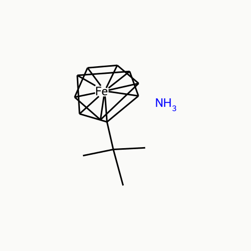 CC(C)(C)[C]12[CH]3[CH]4[CH]5[CH]1[Fe]45321678[CH]2[CH]1[CH]6[CH]7[CH]28.N